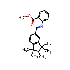 COC(=O)c1ccccc1N=Cc1ccc2c(c1)C(C)(C)C(C)C2(C)C